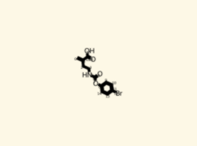 C=C(CCNC(=O)Oc1ccc(Br)cc1)C(=O)O